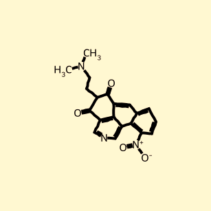 CN(C)CCC1C(=O)c2cncc3c2c(cc2cccc([N+](=O)[O-])c23)C1=O